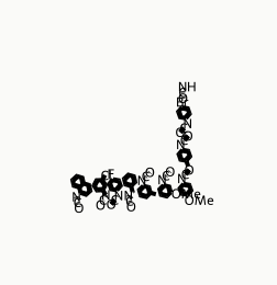 COc1ccc(N=C=O)cc1.COc1cccc(N=C=O)c1.Cc1ccc(N=C=O)cc1.Cc1cccc(N=C=O)c1.N=C=O.O=C=NCc1ccccc1.O=C=Nc1ccc(Br)cc1.O=C=Nc1ccc(F)cc1.O=C=Nc1cccc(Cl)c1.O=C=Nc1cccc2ccccc12